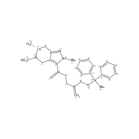 C=C(CCC(=O)c1c2c(nn1C(C)(C)C)C[C@@H](C)N(C(=O)O)C2)CO[Si](c1ccccc1)(c1ccccc1)C(C)(C)C